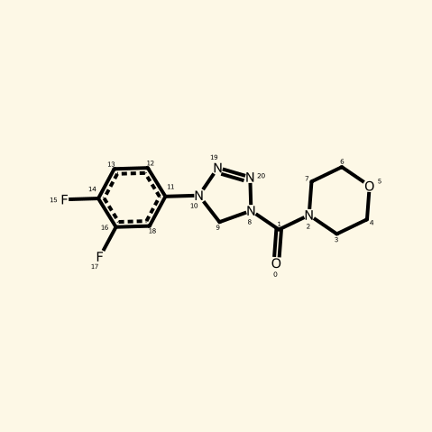 O=C(N1CCOCC1)N1CN(c2ccc(F)c(F)c2)N=N1